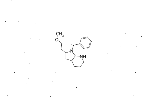 COCCC1CC2CCCNC2N1Cc1ccccc1